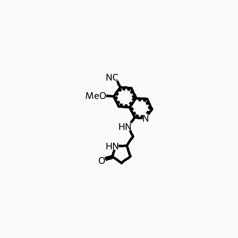 COc1cc2c(NCC3CCC(=O)N3)nccc2cc1C#N